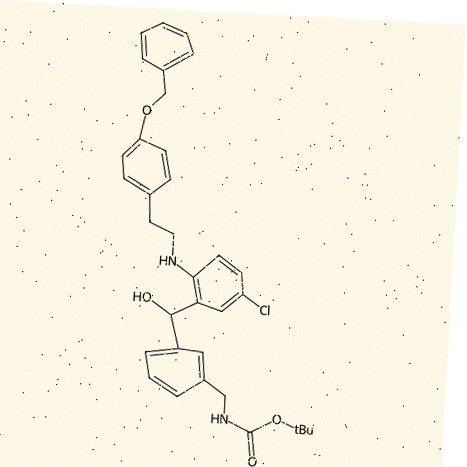 CC(C)(C)OC(=O)NCc1cccc(C(O)c2cc(Cl)ccc2NCCc2ccc(OCc3ccccc3)cc2)c1